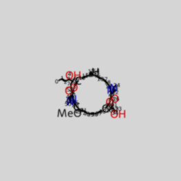 C/C=C/[C@H](O)C(C)(C)[C@@H]1C/C=C\C2=C[C@H]2/C=C/C=C\c2nc(cn2C)C(=O)O[C@H](C(C)(C)[C@H](C)O)C\C=C/C=C\C=C\[C@H](OC)Cc2nc(cn2C)C(=O)O1